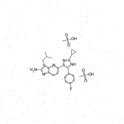 CC(C)Cn1c(N)nc2ccc(-c3nc(C4CC4)[nH]c3-c3ccc(F)cc3)nc21.CS(=O)(=O)O.CS(=O)(=O)O